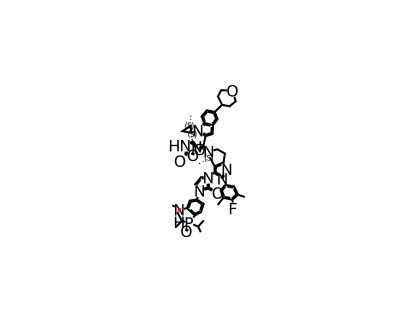 CNc1cc(-n2ccn(-c3c4c(nn3-c3cc(C)c(F)c(C)c3)CCN(C(=O)c3cc5cc(C6CCOCC6)ccc5n3[C@@]3(c5noc(=O)[nH]5)C[C@@H]3C)[C@H]4C)c2=O)ccc1P(=O)(C(C)C)C(C)C